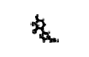 C=C1CCC(c2cn(C(C)(C)C)cn2)C(=O)N1